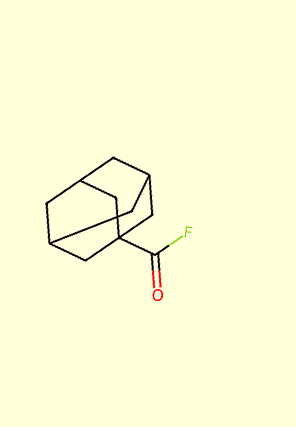 O=C(F)C12CC3CC(CC(C3)C1)C2